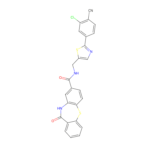 N#Cc1ccc(-c2ncc(CNC(=O)c3ccc4c(c3)NC(=O)c3ccccc3S4)s2)cc1Cl